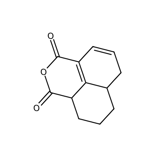 O=C1OC(=O)C2CCCC3CC=CC1=C32